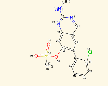 CC(C)Nc1ncc2cc(-c3ccccc3Cl)c(OS(=O)(=O)C(F)(F)F)cc2n1